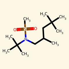 CC(CN(C(C)(C)C)S(C)(=O)=O)CC(C)(C)C